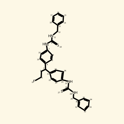 FCCC(c1ccc(NC(=S)NCc2ccccc2)cc1)c1ccc(NC(=S)NCc2ccccc2)cc1